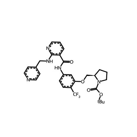 CC(C)(C)OC(=O)N1CCC[C@@H]1COc1cc(NC(=O)c2cccnc2NCc2ccncc2)ccc1C(F)(F)F